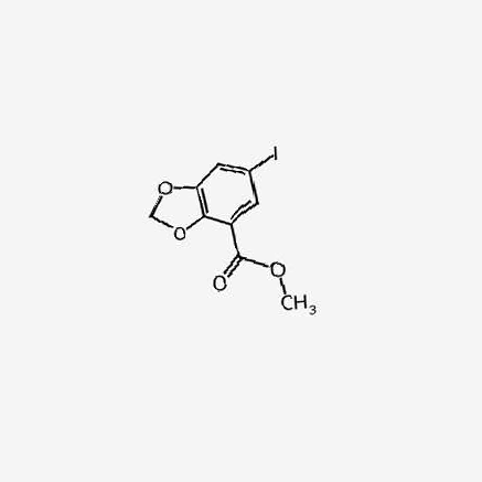 COC(=O)c1cc(I)cc2c1OCO2